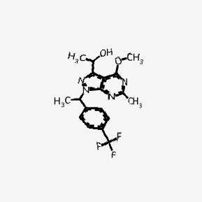 COc1nc(C)nc2c1c(C(C)O)nn2C(C)c1ccc(C(F)(F)F)cc1